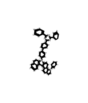 c1ccc(-c2nc(-c3ccccc3)nc(-c3ccc(-c4ccc(-n5c6ccc7ccccc7c6c6c7ccc8ccn(-c9ccccc9)c8c7ccc65)cc4)cc3)n2)cc1